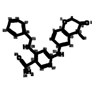 CN1C(=O)COc2ccc(Nc3cc(NCc4ccccc4)c(C(N)=O)cn3)cc21